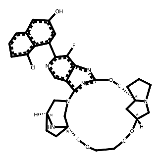 Oc1cc(-c2ncc3c4nc(nc3c2F)OC[C@]23CCCN2C[C@@H](C3)OCCCOC[C@@]23CC[C@@H](CN4C2)N3)c2c(Cl)cccc2c1